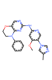 COc1cc(Nc2ncc3c(n2)N(c2ccccc2)CCO3)ncc1-n1cnc(C)c1